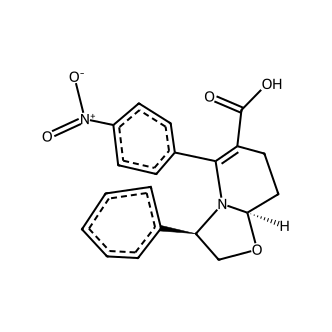 O=C(O)C1=C(c2ccc([N+](=O)[O-])cc2)N2[C@@H](CC1)OC[C@H]2c1ccccc1